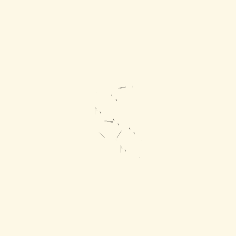 Nc1ccc(N2CCC(O)C2NC=O)nc1N1CCCC1